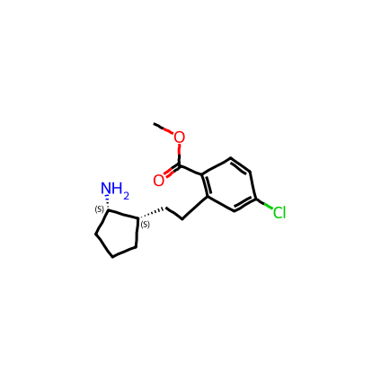 COC(=O)c1ccc(Cl)cc1CC[C@@H]1CCC[C@@H]1N